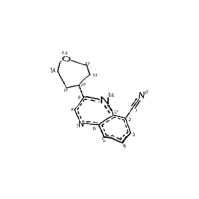 N#Cc1cccc2ncc(C3CCOCC3)nc12